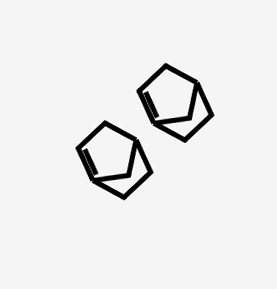 C1=C2CCC(C1)C2.C1=C2CCC(C1)C2